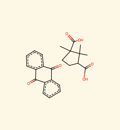 CC1(C(=O)O)CCC(C(=O)O)C1(C)C.O=C1c2ccccc2C(=O)c2ccccc21